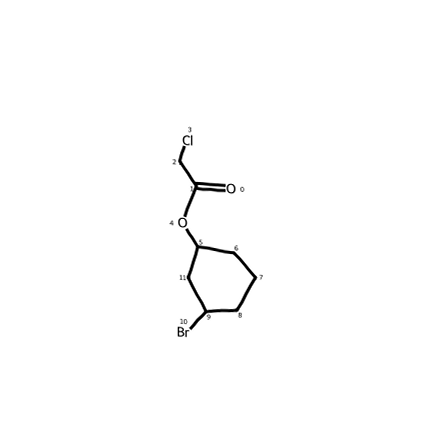 O=C([CH]Cl)OC1CCCC(Br)C1